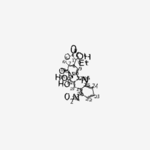 CC[C@@]1(O)C(=O)OCc2c1cc1n(c2=O)C(O)(O)c2cc3c([N+](=O)[O-])cccc3nc2-1